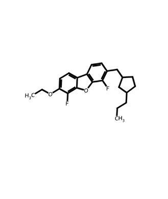 CCCC1CCC(Cc2ccc3c(oc4c(F)c(OCC)ccc43)c2F)C1